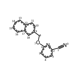 N#Cc1cccc(OCc2ccc3ccccc3c2)n1